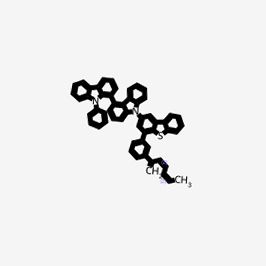 C=C(/C=C\C=C/C)c1cccc(-c2cc(-n3c4ccccc4c4c(-c5cccc6c7ccccc7n(-c7ccccc7)c56)cccc43)cc3c2sc2ccccc23)c1